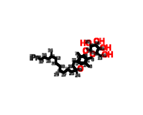 Cc1c(C)c2c(c(C)c1OC1O[C@H](CO)[C@@H](O)[C@H](O)[C@H]1O)CC[C@@](C)(CCC[C@H](C)CCC[C@H](C)CCCC(C)C)O2